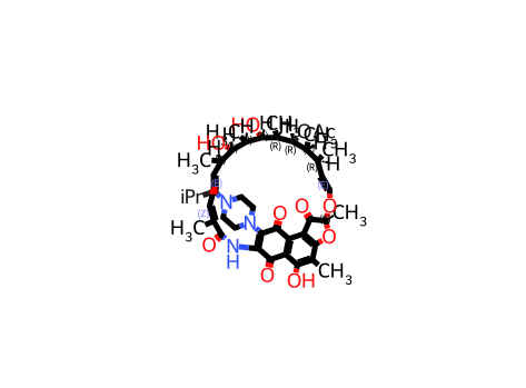 CC(=O)O[C@H]1[C@H](C)[C@H](O)[C@H](C)[C@@H](O)[C@@H](C)/C=C/C=C(/C)C(=O)NC2=C(N3CCN(CC(C)C)CC3)C(=O)c3c(c(O)c(C)c4c3C(=O)[C@@](C)(O/C=C/[C@H](C)[C@H]1C)O4)C2=O